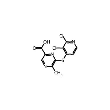 Cc1ncc(C(=O)O)nc1Sc1ccnc(Cl)c1Cl